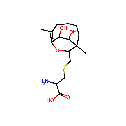 C/C1=C2/OC(CSCC(N)C(=O)O)C(C)(CCCC1)C(O)C2O